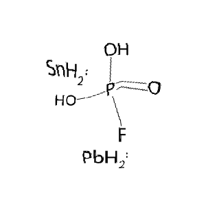 O=P(O)(O)F.[PbH2].[SnH2]